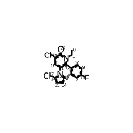 CCn1c(-c2ccc(F)cc2)c(-n2nccc2Cl)cc(Cl)c1=O